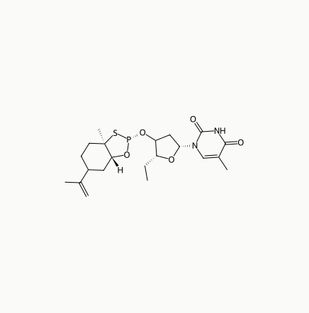 C=C(C)C1CC[C@@]2(C)S[P@](OC3C[C@H](n4cc(C)c(=O)[nH]c4=O)O[C@@H]3CC)O[C@@H]2C1